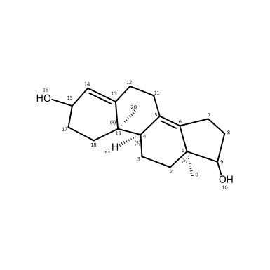 C[C@]12CC[C@@H]3C(=C1CCC2O)CCC1=CC(O)CC[C@@]13C